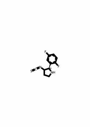 Fc1ccc(F)c([C@H]2NCCC2N=C=S)c1